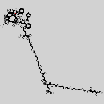 CNC(CCC(=O)O[C@@H](C(=O)O[C@H]1C[C@@]2(O)[C@@H](OC(=O)c3ccccc3)[C@@H]3[C@]4(OC(C)=O)CO[C@@H]4C[C@H](O)[C@@]3(C)C(=O)[C@H](OC(C)=O)C(=C1C)C2(C)C)[C@@H](NC(=O)c1ccccc1)c1ccccc1)C(=O)OCCOCCOCCOCCOCCOCCOC(=O)CCC(=O)CNC(CCC(=O)O)C(=O)OCCOCCOCCOCCOCCOCCOC(=O)CCC(C)=O